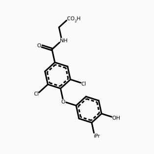 CC(C)c1cc(Oc2c(Cl)cc(C(=O)NCC(=O)O)cc2Cl)ccc1O